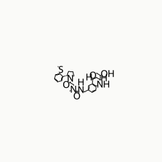 CSc1ccccc1[C@H]1CCCN1C(=O)CN(C)C(=O)NCc1ccc2c(c1)[C@H]1C[C@@H](N2)[C@H](O)CO1